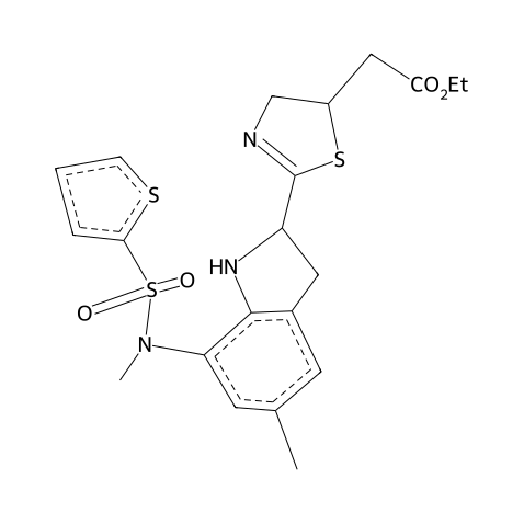 CCOC(=O)CC1CN=C(C2Cc3cc(C)cc(N(C)S(=O)(=O)c4cccs4)c3N2)S1